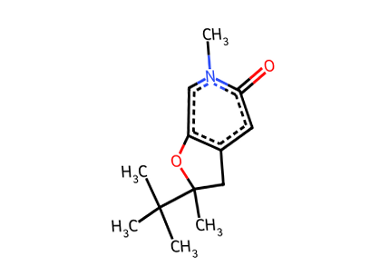 Cn1cc2c(cc1=O)CC(C)(C(C)(C)C)O2